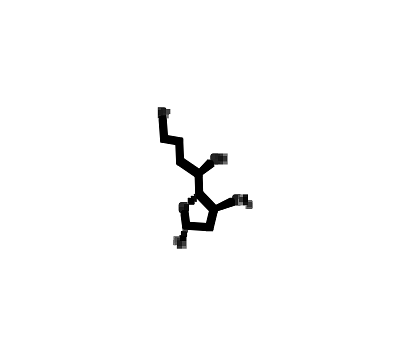 [3H][C@H]1C[C@H](C)[C@@H]([C@H](O)CCCBr)O1